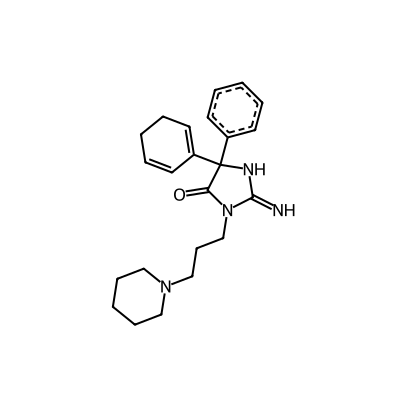 N=C1NC(C2=CCCC=C2)(c2ccccc2)C(=O)N1CCCN1CCCCC1